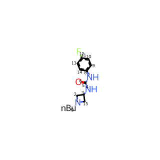 CCCCN1CC(NC(=O)Nc2ccc(F)cc2)C1